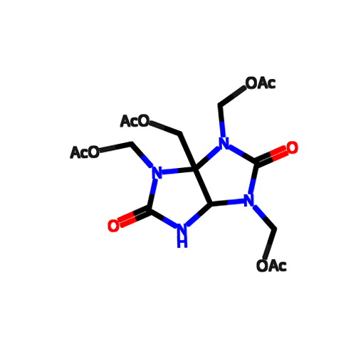 CC(=O)OCN1C(=O)N(COC(C)=O)C2(COC(C)=O)C1NC(=O)N2COC(C)=O